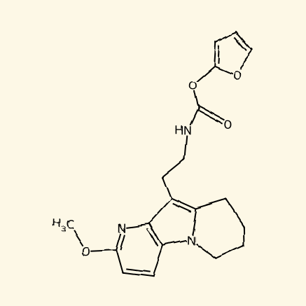 COc1ccc2c(n1)c(CCNC(=O)Oc1ccco1)c1n2CCCC1